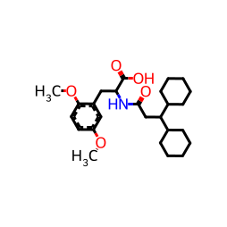 COc1ccc(OC)c(CC(NC(=O)CC(C2CCCCC2)C2CCCCC2)C(=O)O)c1